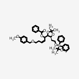 COc1ccc(COCC/C=C\C(OC(=O)c2ccccc2)C2OC(C)(C)O[C@H]2CCO[Si](c2ccccc2)(c2ccccc2)C(C)(C)C)cc1